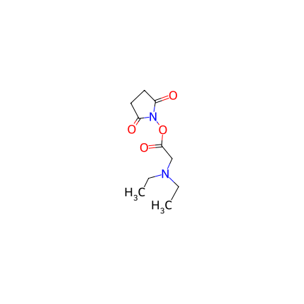 CCN(CC)CC(=O)ON1C(=O)CCC1=O